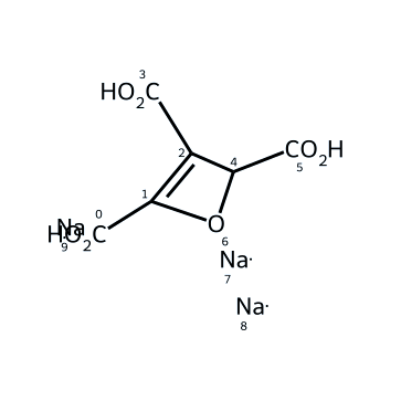 O=C(O)C1=C(C(=O)O)C(C(=O)O)O1.[Na].[Na].[Na]